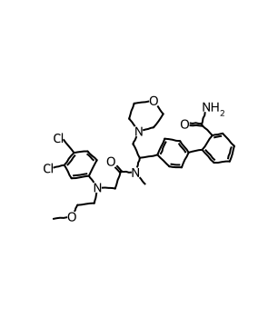 COCCN(CC(=O)N(C)C(CN1CCOCC1)c1ccc(-c2ccccc2C(N)=O)cc1)c1ccc(Cl)c(Cl)c1